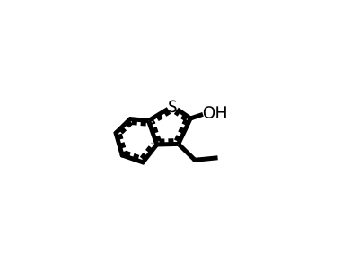 CCc1c(O)sc2ccccc12